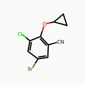 N#Cc1cc(Br)cc(Cl)c1OC1CC1